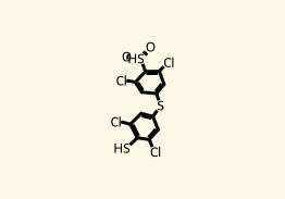 O=[SH](=O)c1c(Cl)cc(Sc2cc(Cl)c(S)c(Cl)c2)cc1Cl